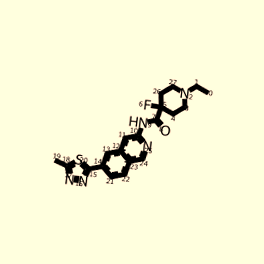 CCN1CCC(F)(C(=O)Nc2cc3cc(-c4nnc(C)s4)ccc3cn2)CC1